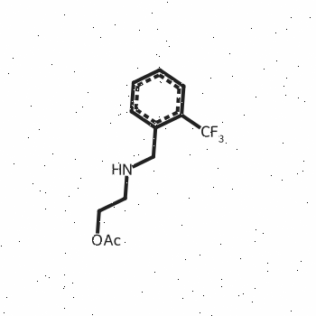 CC(=O)OCCNCc1ccccc1C(F)(F)F